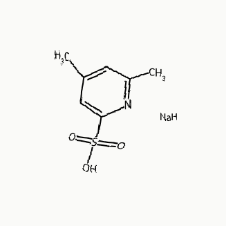 Cc1cc(C)nc(S(=O)(=O)O)c1.[NaH]